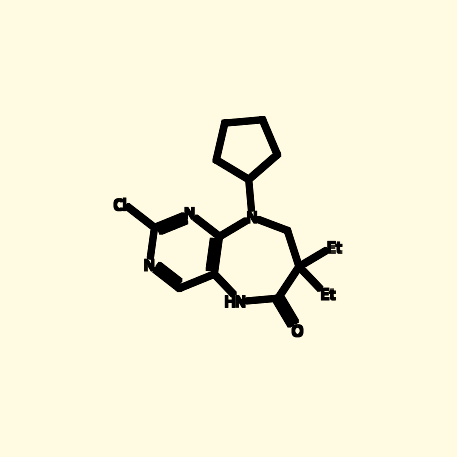 CCC1(CC)CN(C2CCCC2)c2nc(Cl)ncc2NC1=O